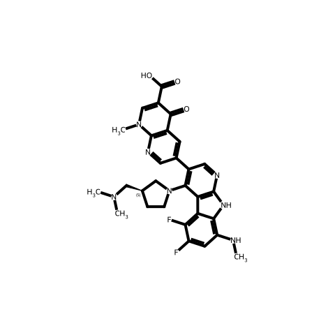 CNc1cc(F)c(F)c2c1[nH]c1ncc(-c3cnc4c(c3)c(=O)c(C(=O)O)cn4C)c(N3CC[C@@H](CN(C)C)C3)c12